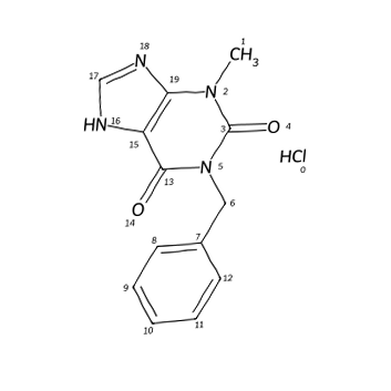 Cl.Cn1c(=O)n(Cc2ccccc2)c(=O)c2[nH]cnc21